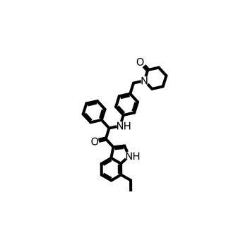 CCc1cccc2c(C(=O)C(Nc3ccc(CN4CCCCC4=O)cc3)c3ccccc3)c[nH]c12